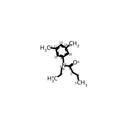 CCCC(=O)N(CCC)c1cc(C)cc(C)c1